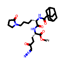 CC(C)OC(=O)[C@H](CCC(=O)C=[N+]=[N-])NC(=O)[C@H](CCCCN1CCCC1=O)NC(=O)C12CC3CC(CC(C3)C1)C2